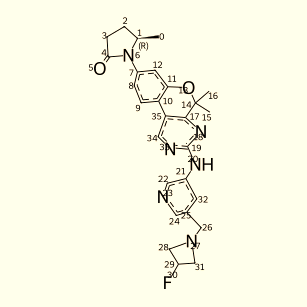 C[C@@H]1CCC(=O)N1c1ccc2c(c1)OC(C)(C)c1nc(Nc3cncc(CN4CC(F)C4)c3)ncc1-2